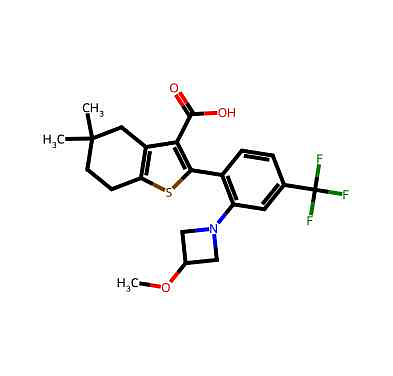 COC1CN(c2cc(C(F)(F)F)ccc2-c2sc3c(c2C(=O)O)CC(C)(C)CC3)C1